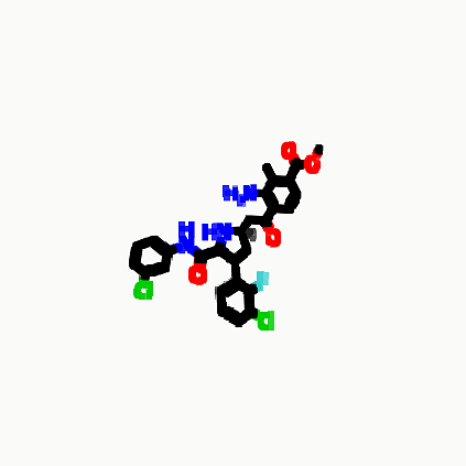 COC(=O)c1ccc(C(=O)C[C@H]2CC(c3cccc(Cl)c3F)C(C(=O)Nc3cccc(Cl)c3)N2)c(N)c1C